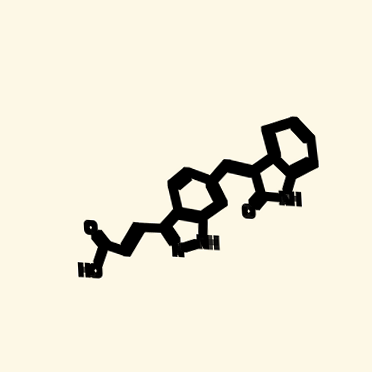 O=C(O)C=Cc1n[nH]c2cc(C=C3C(=O)Nc4ccccc43)ccc12